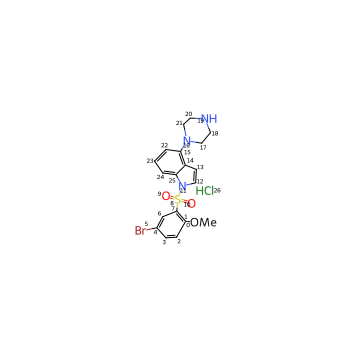 COc1ccc(Br)cc1S(=O)(=O)n1ccc2c(N3CCNCC3)cccc21.Cl